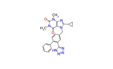 Cn1c(=O)c2c(nc(C3CC3)n2Cc2ccc(-c3ccccc3)c(-c3nnn[nH]3)c2)n(C)c1=O